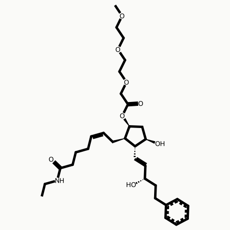 CCNC(=O)CCC/C=C\C[C@@H]1[C@@H](/C=C/[C@@H](O)CCc2ccccc2)[C@H](O)C[C@@H]1OC(=O)COCCOCCOC